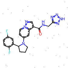 O=C(NCc1nn[nH]n1)c1cnn2ccc(N3CCCC3c3cc(F)ccc3F)cc12